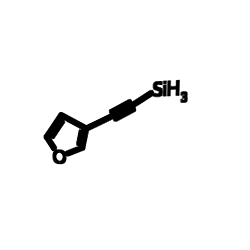 [SiH3]C#Cc1ccoc1